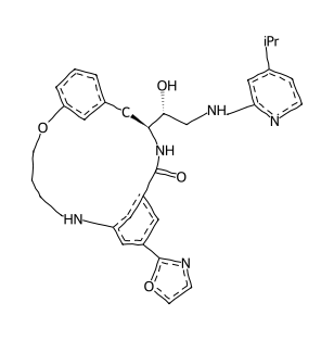 CC(C)c1ccnc(CNC[C@@H](O)[C@@H]2Cc3cccc(c3)OCCCCNc3cc(cc(-c4ncco4)c3)C(=O)N2)c1